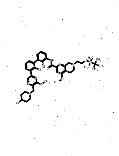 COc1cc(C(=O)Nc2cccc(-c3cccc(-c4cnc(CN5CCC(O)CC5)c(OC)n4)c3Cl)c2Cl)nc2c1CCN(CCO[Si](C)(C)C(C)(C)C)C2